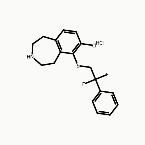 Cl.FC(F)(CSc1c(Cl)ccc2c1CCNCC2)c1ccccc1